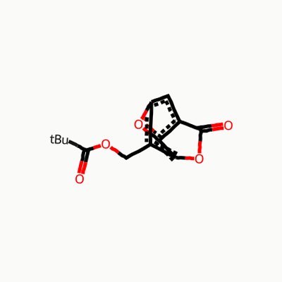 CC(C)(C)C(=O)OCc1c2c3oc1cc3C(=O)O2